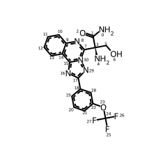 NC(=O)[C@](N)(CO)c1nc2ccccc2c2nc(-c3cccc(OC(F)(F)F)c3)nn12